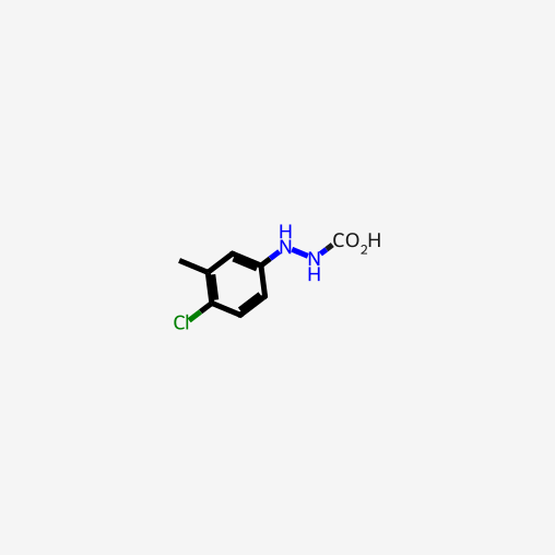 Cc1cc(NNC(=O)O)ccc1Cl